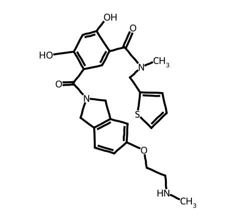 CNCCOc1ccc2c(c1)CN(C(=O)c1cc(C(=O)N(C)Cc3cccs3)c(O)cc1O)C2